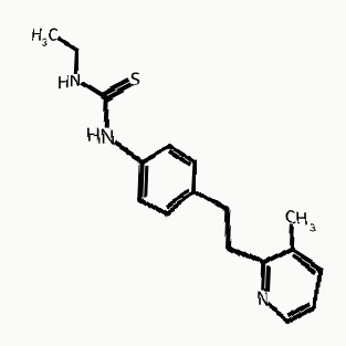 CCNC(=S)Nc1ccc(CCc2ncccc2C)cc1